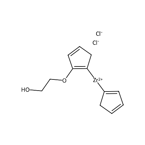 OCCOC1=[C]([Zr+2][C]2=CC=CC2)CC=C1.[Cl-].[Cl-]